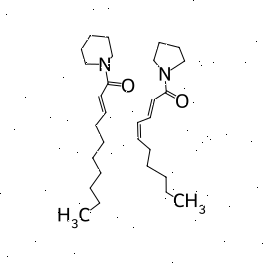 CCCCC/C=C\C=C\C(=O)N1CCCC1.CCCCCCC/C=C/C(=O)N1CCCCC1